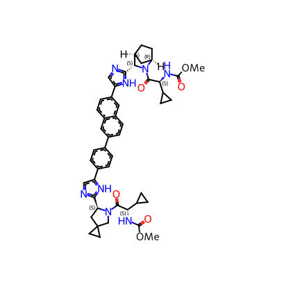 COC(=O)N[C@H](C(=O)N1CC2(CC2)C[C@H]1c1ncc(-c2ccc(-c3ccc4cc(-c5cnc([C@@H]6[C@H]7CC[C@H](C7)N6C(=O)[C@@H](NC(=O)OC)C6CC6)[nH]5)ccc4c3)cc2)[nH]1)C1CC1